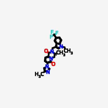 CCn1cc(CN2C(=O)c3ccc(-n4cnc(C)c4)c(=O)n3C[C@H]2C)c2cc(C(F)(F)F)ccc21